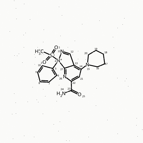 CS(=O)(=O)[N+]1(c2ccccc2)N=Cc2c(N3CCCCC3)cc(C(N)=O)nc21